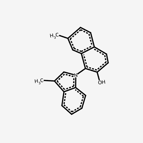 Cc1ccc2ccc(O)c(-n3cc(C)c4ccccc43)c2c1